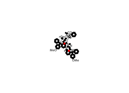 C#C[C@]1(COP(=O)(Oc2ccccc2)N(CCCCCCCCCC)C(C)C(=O)O)O[C@@H](n2cnc3c(NC(c4ccccc4)(c4ccccc4)c4ccc(OC)cc4)nc(F)nc32)C[C@@H]1OC(c1ccccc1)(c1ccccc1)c1ccc(OC)cc1